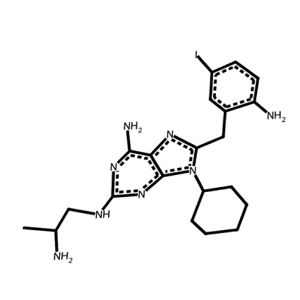 CC(N)CNc1nc(N)c2nc(Cc3cc(I)ccc3N)n(C3CCCCC3)c2n1